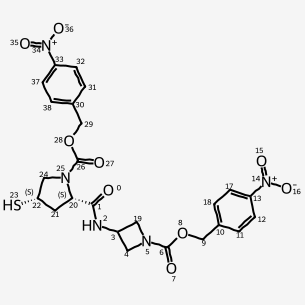 O=C(NC1CN(C(=O)OCc2ccc([N+](=O)[O-])cc2)C1)[C@@H]1C[C@H](S)CN1C(=O)OCc1ccc([N+](=O)[O-])cc1